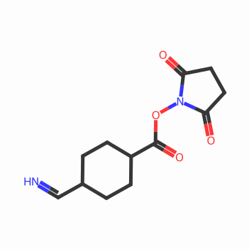 N=CC1CCC(C(=O)ON2C(=O)CCC2=O)CC1